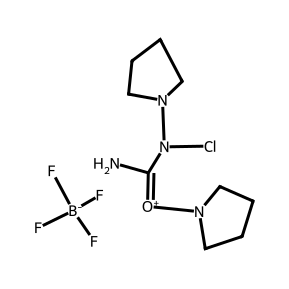 F[B-](F)(F)F.NC(=[O+]N1CCCC1)N(Cl)N1CCCC1